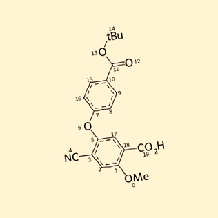 COc1cc(C#N)c(Oc2ccc(C(=O)OC(C)(C)C)cc2)cc1C(=O)O